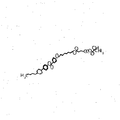 C=C(C)C(=O)OCCCCCC(=O)OCCCCCCCCOc1ccc(C(=O)Oc2ccc(C3CCC(CCCCC)CC3)cc2)cc1